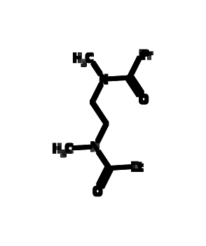 CCC(=O)N(C)CCN(C)C(=O)C(C)C